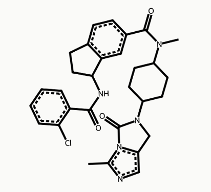 Cc1ncc2n1C(=O)N(C1CCC(N(C)C(=O)c3ccc4c(c3)C(NC(=O)c3ccccc3Cl)CC4)CC1)C2